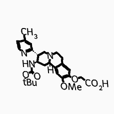 COc1cc2c(cc1OCC(=O)O)CCN1C[C@@H](c3cc(C)ccn3)[C@H](NC(=O)OC(C)(C)C)C[C@H]21